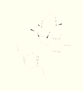 CC(=O)Oc1ccc2c3c1O[C@H]1[C@@H](OC(C)=O)C=C[C@H]4[C@@H](C2)N(C)CC[C@@]341.CC(C)Cc1ccc(C(C)C(=O)O)cc1